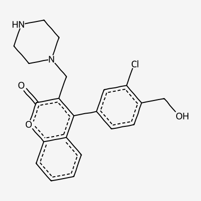 O=c1oc2ccccc2c(-c2ccc(CO)c(Cl)c2)c1CN1CCNCC1